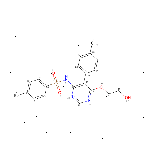 CCc1ccc(S(=O)(=O)Nc2ncnc(OCCO)c2-c2ccc(C)cc2)cc1